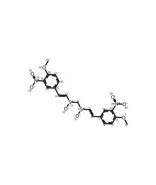 COc1ccc(C=C[S+]([O-])C[S+]([O-])C=Cc2ccc(OC)c([N+](=O)[O-])c2)cc1[N+](=O)[O-]